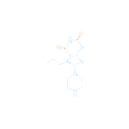 CC=CCn1c(N2CCNCC2)nc2c1c(=O)[nH]c(=O)n2C